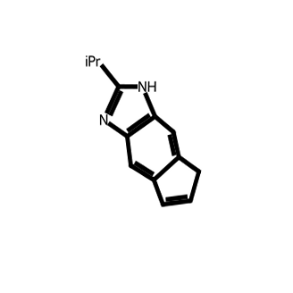 CC(C)c1nc2cc3c(cc2[nH]1)CC=C3